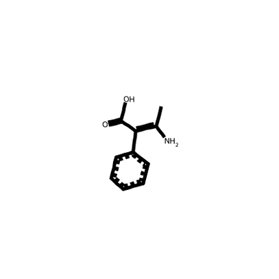 CC(N)=C(C(=O)O)c1ccccc1